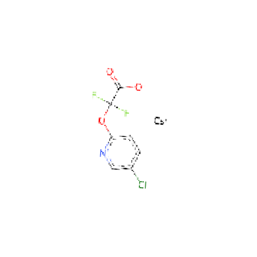 O=C([O-])C(F)(F)Oc1ccc(Cl)cn1.[Cs+]